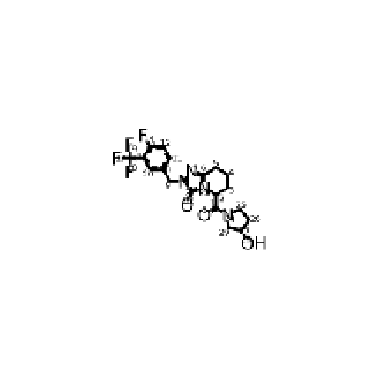 O=C(C1CCCc2nn(Cc3ccc(F)c(C(F)(F)F)c3)c(=O)n21)N1CC[C@H](O)C1